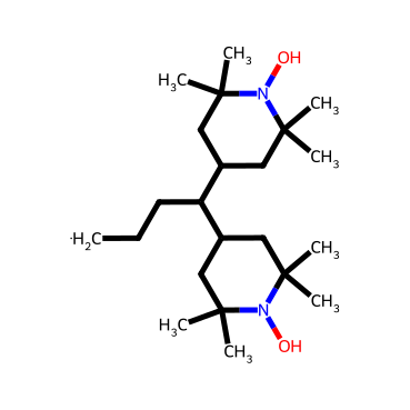 [CH2]CCC(C1CC(C)(C)N(O)C(C)(C)C1)C1CC(C)(C)N(O)C(C)(C)C1